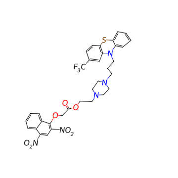 O=C(COc1c([N+](=O)[O-])cc([N+](=O)[O-])c2ccccc12)OCCN1CCN(CCCN2c3ccccc3Sc3ccc(C(F)(F)F)cc32)CC1